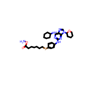 NOC(=O)CCCCCCSc1ccc(Nc2nc(NC3CCCCC3)c3ncn(C4CCCCO4)c3n2)cc1